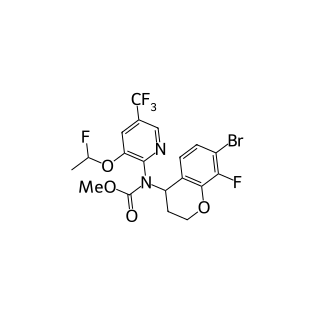 COC(=O)N(c1ncc(C(F)(F)F)cc1OC(C)F)C1CCOc2c1ccc(Br)c2F